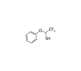 FC(F)(F)C(S)Oc1[c]cccc1